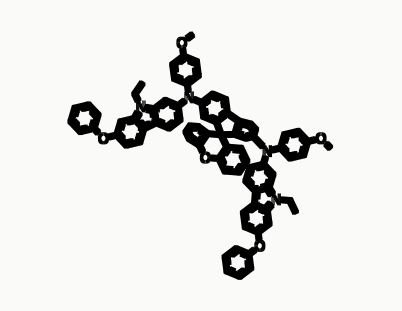 CCn1c2cc(Oc3ccccc3)ccc2c2ccc(N(c3ccc(OC)cc3)c3ccc4c(c3)C3(c5ccccc5Oc5ccccc53)c3cc(N(c5ccc(OC)cc5)c5ccc6c7ccc(Oc8ccccc8)cc7n(CC)c6c5)ccc3-4)cc21